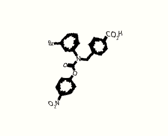 O=C(O)c1ccc(CN(C(=O)Oc2ccc([N+](=O)[O-])cc2)c2cccc(Br)c2)cc1